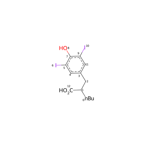 CCCCC(Cc1cc(I)c(O)c(I)c1)C(=O)O